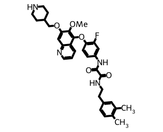 COc1c(OCC2CCNCC2)cc2ncccc2c1Oc1ccc(NC(=O)C(=O)NCCc2ccc(C)c(C)c2)cc1F